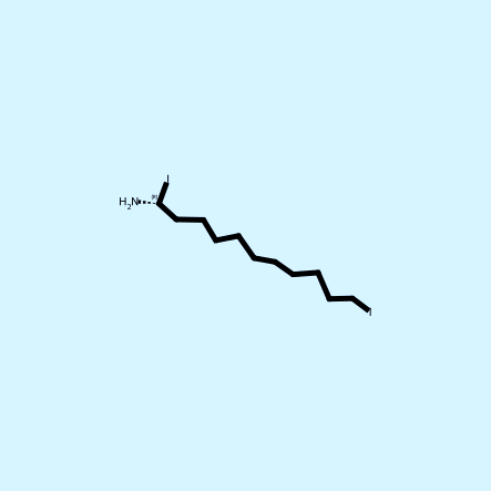 N[C@H](I)CCCCCCCCCCI